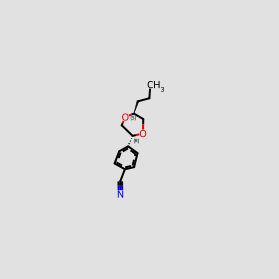 CCC[C@H]1CO[C@H](c2ccc(C#N)cc2)CO1